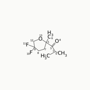 CC(C)C(=O)C1(C)CCC(F)(F)CO1